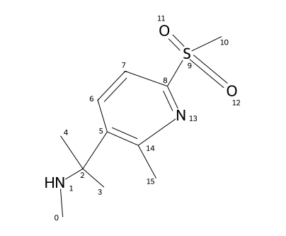 CNC(C)(C)c1ccc(S(C)(=O)=O)nc1C